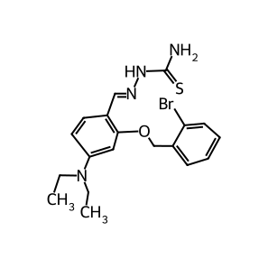 CCN(CC)c1ccc(C=NNC(N)=S)c(OCc2ccccc2Br)c1